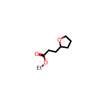 CCOC(=O)CCC1CCCO1